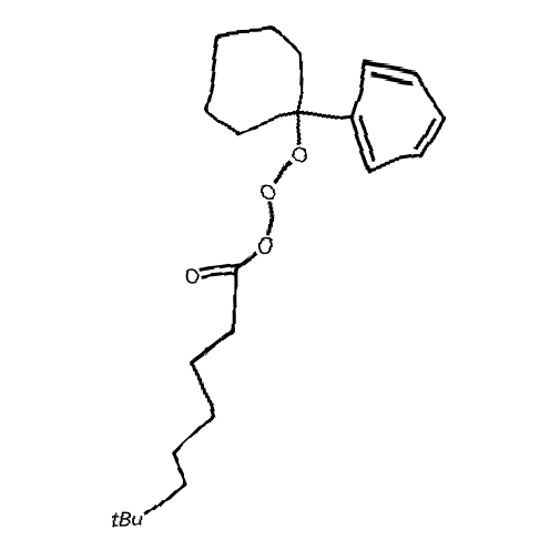 CC(C)(C)CCCCCC(=O)OOOC1(c2ccccc2)CCCCC1